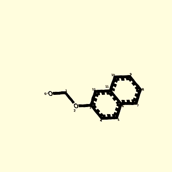 [O]COc1ccc2ccccc2c1